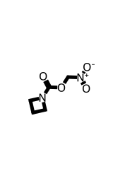 O=C(OC[N+](=O)[O-])N1CCC1